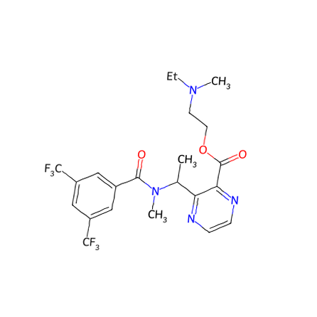 CCN(C)CCOC(=O)c1nccnc1C(C)N(C)C(=O)c1cc(C(F)(F)F)cc(C(F)(F)F)c1